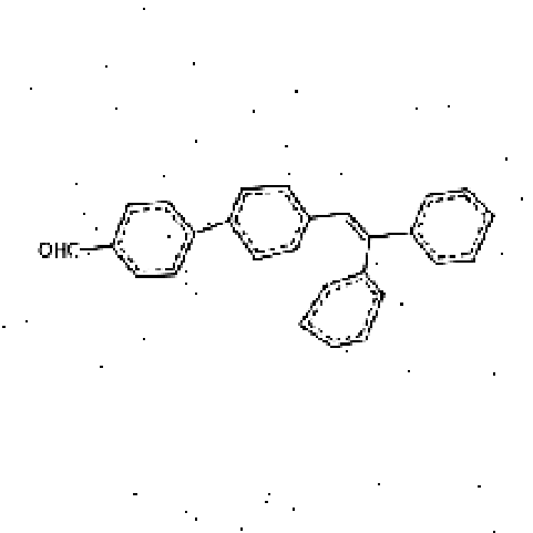 O=Cc1ccc(-c2ccc(C=C(c3ccccc3)c3ccccc3)cc2)cc1